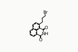 O=C1NC(=O)c2c(CCCBr)ccc3cccc1c23